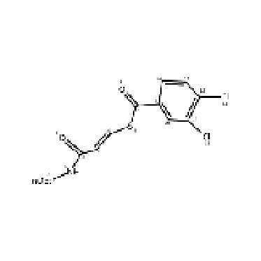 CCCCCCCCNC(=O)C=CSC(=O)c1ccc(Cl)c(Cl)c1